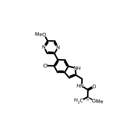 COc1cnc(-c2cc3[nH]c(CNC(=O)[C@H](C)OC)cc3cc2Cl)cn1